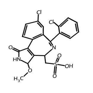 COC1NC(=O)C2=C1C(CS(=O)(=O)O)N=C(c1ccccc1Cl)c1cc(Cl)ccc12